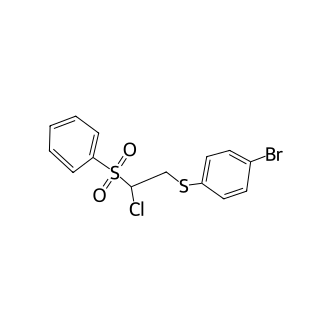 O=S(=O)(c1ccccc1)C(Cl)CSc1ccc(Br)cc1